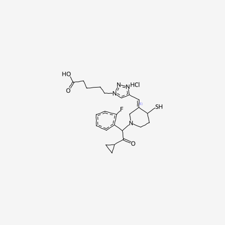 Cl.O=C(O)CCCCn1cc(/C=C2\CN(C(C(=O)C3CC3)c3ccccc3F)CCC2S)nn1